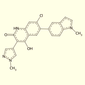 Cn1cc(-c2c(O)c3cc(-c4ccc5c(ccn5C)c4)c(Cl)cc3[nH]c2=O)cn1